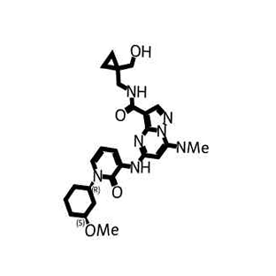 CNc1cc(Nc2cccn([C@@H]3CCC[C@H](OC)C3)c2=O)nc2c(C(=O)NCC3(CO)CC3)cnn12